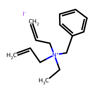 C=CC[N+](CC)(CC=C)Cc1ccccc1.[I-]